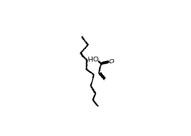 C=CC(=O)O.CCCCCCCCCC